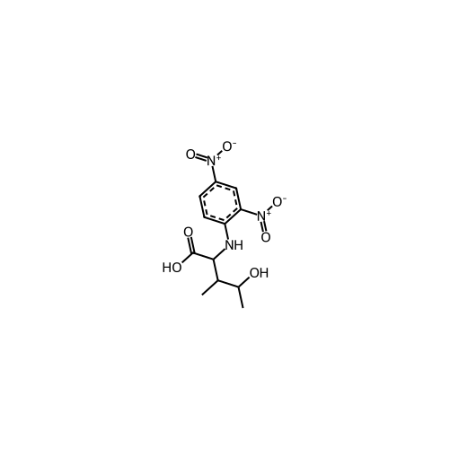 CC(O)C(C)C(Nc1ccc([N+](=O)[O-])cc1[N+](=O)[O-])C(=O)O